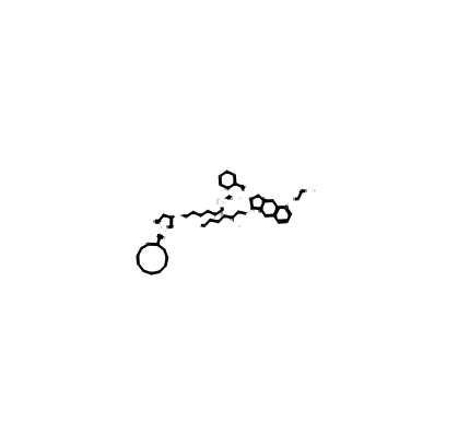 CCCCC[C@H](O)CC[C@@H]1[C@H]2Cc3cccc(OCC(=O)O)c3C[C@H]2C[C@H]1OC(=O)C1CCCC[C@@H]1C(=O)NCCCCCCSC1CC(=O)N(C(C)(C)C2CCCCCCCCCC2)C1=O